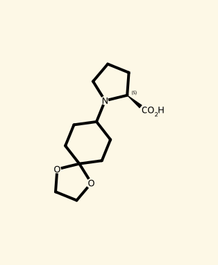 O=C(O)[C@@H]1CCCN1C1CCC2(CC1)OCCO2